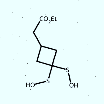 CCOC(=O)CC1CC(SO)(SO)C1